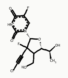 C[C@H](O)[C@H]1O[C@@H](n2cc(F)c(=O)[nH]c2=O)C(F)(C#CCl)C1CO